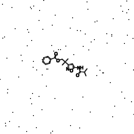 CC(C)C(=O)Nc1cc(C(C)(C)COC(=O)c2ccccc2)no1